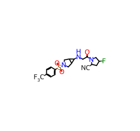 N#CC1CC(F)CN1C(=O)CNC1C2CN(S(=O)(=O)c3ccc(C(F)(F)F)cc3)CC21